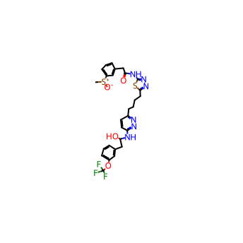 C[S+]([O-])c1cccc(CC(=O)Nc2nnc(CCCCc3ccc(NC(O)Cc4cccc(OC(F)(F)F)c4)nn3)s2)c1